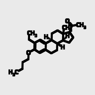 CCCCOc1cc2c(cc1CC)[C@H]1CC[C@]3(C)[C@@H](C(C)=O)CC[C@H]3[C@@H]1CC2